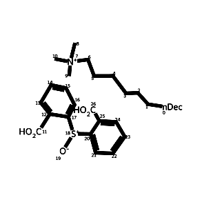 CCCCCCCCCCCCCCCC[N+](C)(C)C.O=C(O)c1ccccc1[S+]([O-])c1ccccc1C(=O)O